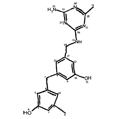 Cc1cc(O)cc(Cc2cc(O)cc(CNc3nc(C)nc(N)n3)c2)c1